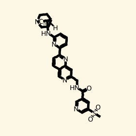 CS(=O)(=O)c1cncc(C(=O)NCc2cc3nc(-c4cccc(N[C@@H]5CN6CCC5CC6)n4)ccc3cn2)c1